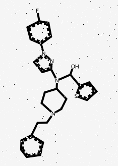 OC(c1cccs1)N(c1ccn(-c2ccc(F)cc2)n1)C1CCN(CCc2ccccc2)CC1